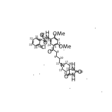 COc1cc(OC)c(C(=O)CCCCN2CCC3(CC2)NC(=O)NC3=O)cc1NS(=O)(=O)c1ccccc1Cl